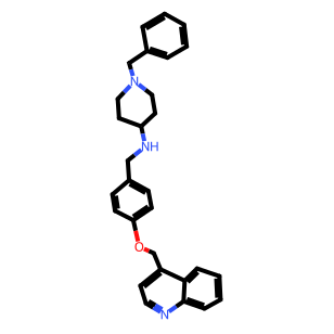 c1ccc(CN2CCC(NCc3ccc(OCc4ccnc5ccccc45)cc3)CC2)cc1